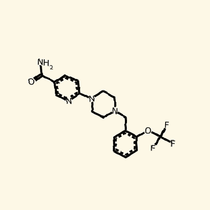 NC(=O)c1ccc(N2CCN(Cc3ccccc3OC(F)(F)F)CC2)nc1